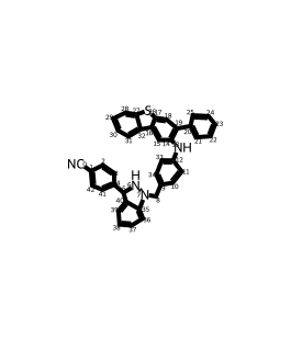 N#Cc1ccc(C2NN(Cc3ccc(Nc4cc5c(cc4-c4ccccc4)sc4ccccc45)cc3)c3ccccc32)cc1